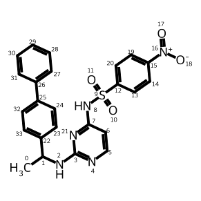 CC(Nc1nccc(NS(=O)(=O)c2ccc([N+](=O)[O-])cc2)n1)c1ccc(-c2ccccc2)cc1